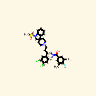 Cc1cc(C(=O)N(C)C[C@@H](CCN2CCC3(CC2)CN(S(C)(=O)=O)c2ccccc23)c2ccc(Cl)c(Cl)c2)cc(C)c1F